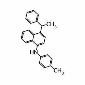 Cc1ccc(Nc2ccc(C(C)c3ccccc3)c3ccccc23)cc1